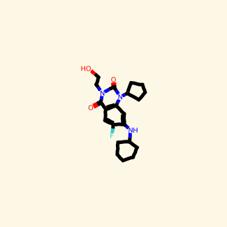 O=c1c2cc(F)c(NC3CCCCC3)cc2n(C2CCCC2)c(=O)n1CCO